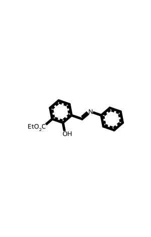 CCOC(=O)c1cccc(/C=N/c2ccccc2)c1O